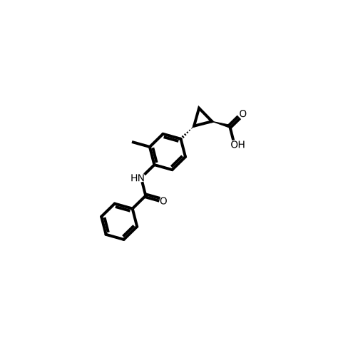 Cc1cc([C@@H]2C[C@H]2C(=O)O)ccc1NC(=O)c1ccccc1